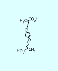 CC(=CCCOc1ccc(OCCC=C(C)C(=O)O)cc1)C(=O)O